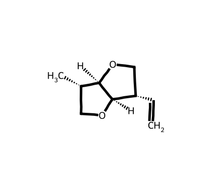 C=C[C@H]1CO[C@H]2[C@@H]1OC[C@@H]2C